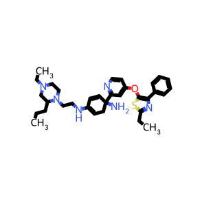 CCCC1CN(CC)CCN1CCNC1=CCC(N)(c2cc(Oc3sc(CC)nc3-c3ccccc3)ccn2)C=C1